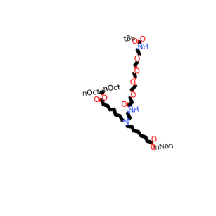 CCCCCCCCCOC(=O)CCCCCCCN(CCCCCCCC(=O)OC(CCCCCCCC)CCCCCCCC)CCNC(=O)CCOCCOCCOCCOCCNC(=O)OC(C)(C)C